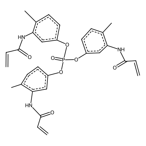 C=CC(=O)Nc1cc(OP(=O)(Oc2ccc(C)c(NC(=O)C=C)c2)Oc2ccc(C)c(NC(=O)C=C)c2)ccc1C